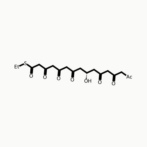 CCSC(=O)CC(=O)CC(=O)CC(=O)C[C@@H](O)CC(=O)CC(=O)CC(C)=O